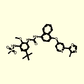 COc1c(NC(=O)Nc2ccc(Oc3ccnc(-c4ocnc4C)c3)c3ccccc23)cc(C(C)(C)C)cc1NS(C)(=O)=O